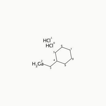 Cl.Cl.[GaH2][CH2]C1CCCCC1